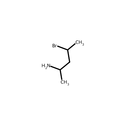 CC(N)CC(C)Br